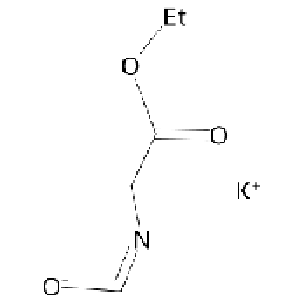 CCOC(=O)C/N=C\[O-].[K+]